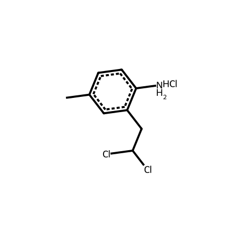 Cc1ccc(N)c(CC(Cl)Cl)c1.Cl